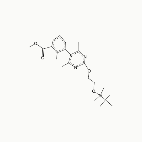 COC(=O)c1cccc(-c2c(C)nc(OCCO[Si](C)(C)C(C)(C)C)nc2C)c1C